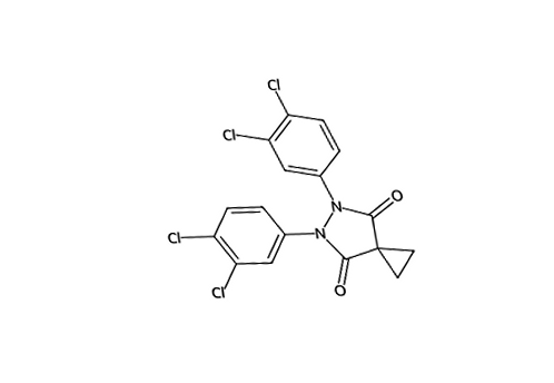 O=C1N(c2ccc(Cl)c(Cl)c2)N(c2ccc(Cl)c(Cl)c2)C(=O)C12CC2